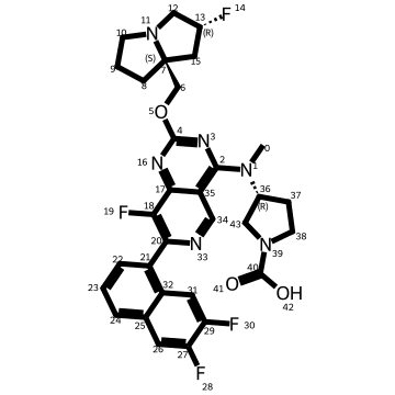 CN(c1nc(OC[C@@]23CCCN2C[C@H](F)C3)nc2c(F)c(-c3cccc4cc(F)c(F)cc34)ncc12)[C@@H]1CCN(C(=O)O)C1